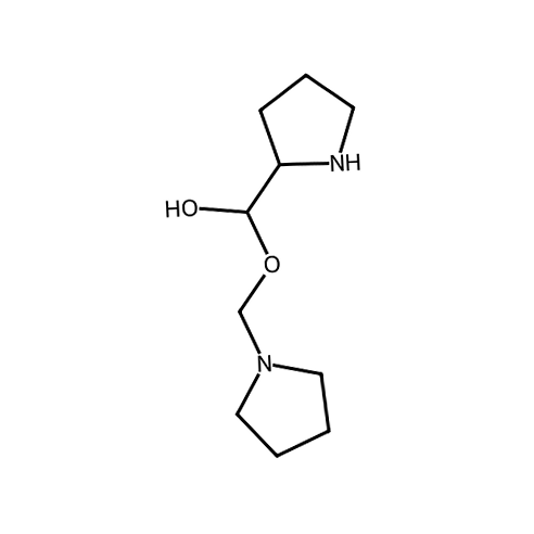 OC(OCN1CCCC1)C1CCCN1